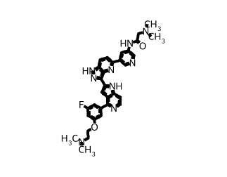 CN(C)CCOc1cc(F)cc(-c2nccc3[nH]c(-c4n[nH]c5ccc(-c6cncc(NC(=O)CN(C)C)c6)nc45)cc23)c1